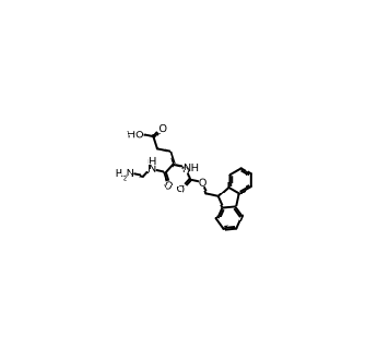 NCNC(=O)C(CCC(=O)O)NC(=O)OCC1c2ccccc2-c2ccccc21